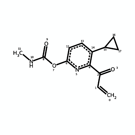 C=CC(=O)c1nc(OC(=O)NC)ccc1C1CC1